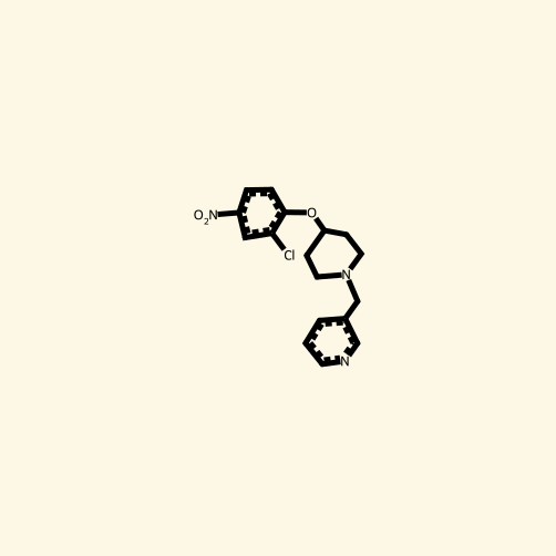 O=[N+]([O-])c1ccc(OC2CCN(Cc3cccnc3)CC2)c(Cl)c1